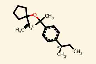 C=CC1(OC(C)(C)c2ccc([C@H](C)CC)cc2)CCCC1